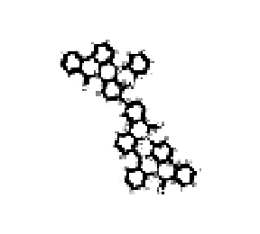 O=c1c2ccccc2c2cccc3c2n1-c1ccc(-c2ccc4c(=O)n5c6c(cccc6c4c2)B2c4ccccc4-n4c(=O)c6ccccc6c6ccc-5c2c64)c2c1B3c1ccccc1O2